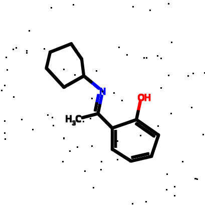 C/C(=N\C1CCCCC1)c1ccccc1O